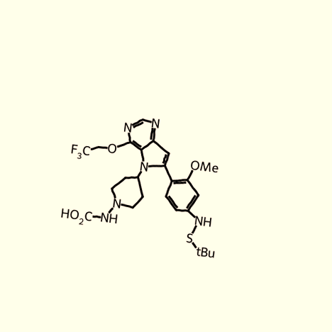 COc1cc(NSC(C)(C)C)ccc1-c1cc2ncnc(OCC(F)(F)F)c2n1C1CCN(NC(=O)O)CC1